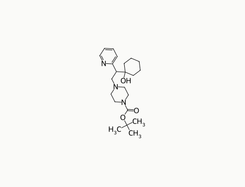 CC(C)(C)OC(=O)N1CCN(CC(c2ccccn2)C2(O)CCCCC2)CC1